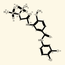 COc1ccc(C(=O)Nc2ccc(Cl)c(Cl)c2)cc1NC(=O)CN(S(C)(=O)=O)S(C)(=O)=O